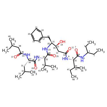 CCC(CC)NC(=O)[C@@H](NC(=O)C[C@H](O)[C@H](Cc1ccccc1)NC(=O)[C@@H](NC(=O)[C@H](CC(C)C)NC(=O)CC(C)C)C(C)C)[C@@H](C)CC